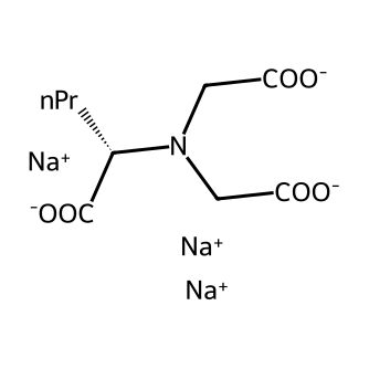 CCC[C@@H](C(=O)[O-])N(CC(=O)[O-])CC(=O)[O-].[Na+].[Na+].[Na+]